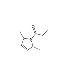 CCC(=O)N1C(C)C=CC1C